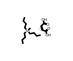 CCC[CH2][Sn]([CH3])([CH2]CCC)[CH2]CCC.O=C(O)/C=C\C(=O)O